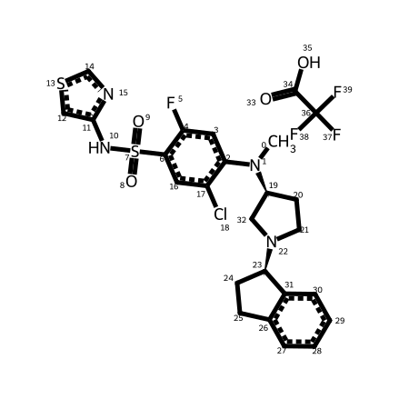 CN(c1cc(F)c(S(=O)(=O)Nc2cscn2)cc1Cl)[C@H]1CCN([C@@H]2CCc3ccccc32)C1.O=C(O)C(F)(F)F